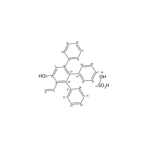 C=Cc1c(O)cc(-c2ccccc2)c(-c2ccccc2)c1-c1ccccc1.O=S(=O)(O)O